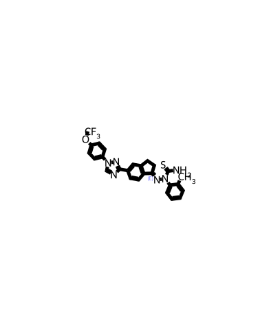 Cc1ccccc1N(/N=C1\CCc2cc(-c3ncn(-c4ccc(OC(F)(F)F)cc4)n3)ccc21)C(N)=S